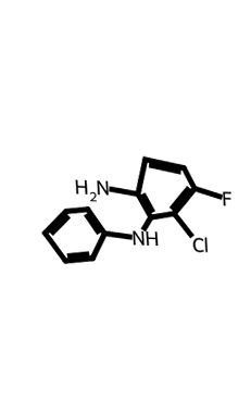 Nc1ccc(F)c(Cl)c1Nc1ccccc1